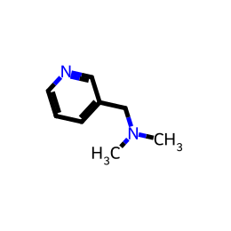 CN(C)Cc1cccnc1